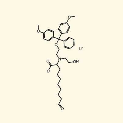 COc1ccc(C(OCCN(CCO)C(CCCCCCCC=O)C(=O)[O-])(c2ccccc2)c2ccc(OC)cc2)cc1.[Li+]